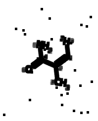 [2H]C=C(C)C(N)=O